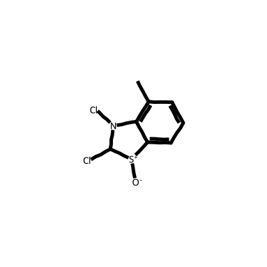 Cc1cccc2c1N(Cl)C(Cl)[S+]2[O-]